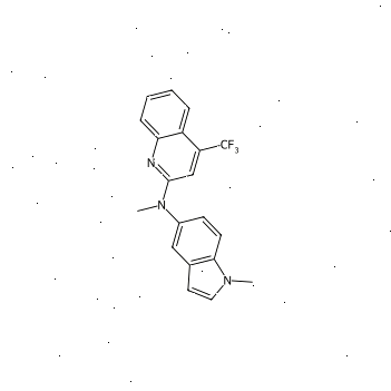 CN(c1ccc2c(ccn2C)c1)c1cc(C(F)(F)F)c2ccccc2n1